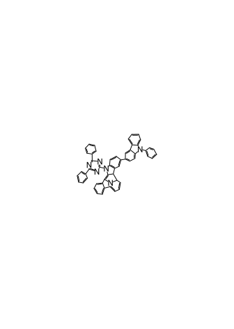 C1=CC2C3C(=c4c5ccccc5c(n42)=C1)N(c1nc(-c2ccccc2)nc(-c2ccccc2)n1)c1ccc(-c2ccc4c(c2)c2ccccc2n4-c2ccccc2)cc13